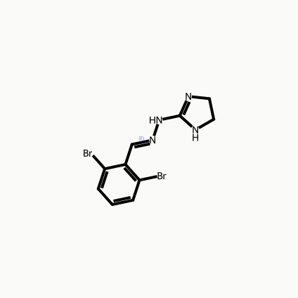 Brc1cccc(Br)c1/C=N/NC1=NCCN1